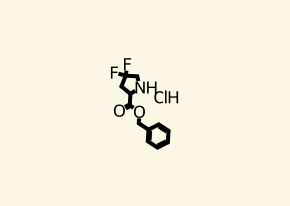 Cl.O=C(OCc1ccccc1)C1CC(F)(F)CN1